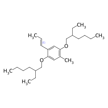 C/C=C/c1cc(OCC(CC)CCCC)c(C)cc1OCC(CC)CCCC